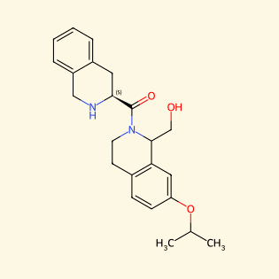 CC(C)Oc1ccc2c(c1)C(CO)N(C(=O)[C@@H]1Cc3ccccc3CN1)CC2